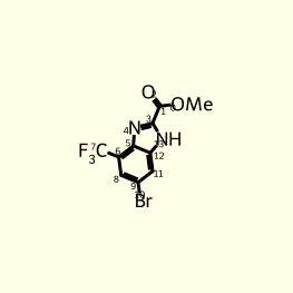 COC(=O)c1nc2c(C(F)(F)F)cc(Br)cc2[nH]1